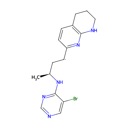 C[C@@H](C[CH]c1ccc2c(n1)NCCC2)Nc1ncncc1Br